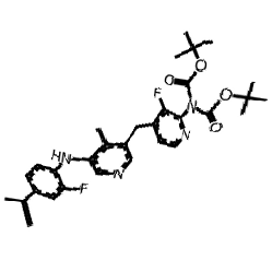 C=C(C)c1ccc(Nc2cncc(Cc3ccnc(N(C(=O)OC(C)(C)C)C(=O)OC(C)(C)C)c3F)c2C)c(F)c1